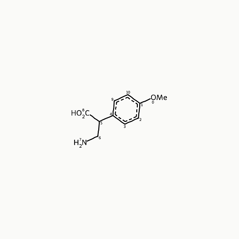 COc1ccc(C(CN)C(=O)O)cc1